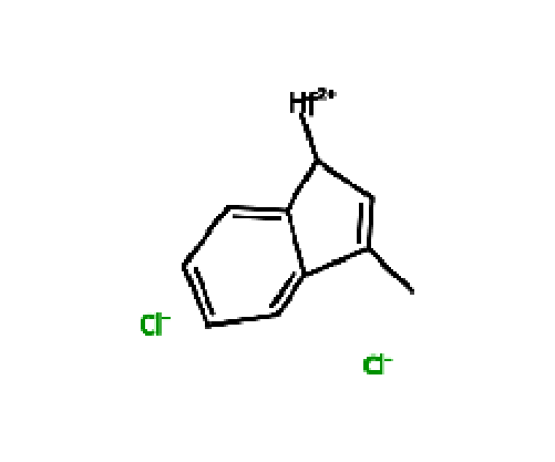 CC1=C[CH]([Hf+2])c2ccccc21.[Cl-].[Cl-]